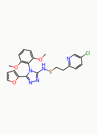 COc1cccc(OC)c1-n1c(NSCCc2ccc(Cl)cn2)nnc1-c1ccco1